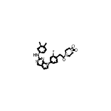 Cc1ccc(Nc2ncc3ccn(-c4ccc(CC(=O)N5CCS(=O)(=O)CC5)c(F)c4)c3n2)cc1C